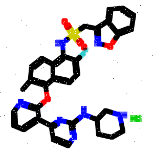 Cc1ccc2c(NS(=O)(=O)Cc3noc4ccccc34)c(F)ccc2c1Oc1ncccc1-c1ccnc(NC2CCCNC2)n1.Cl